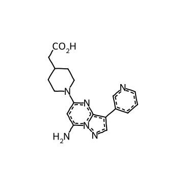 Nc1cc(N2CCC(CC(=O)O)CC2)nc2c(-c3cccnc3)cnn12